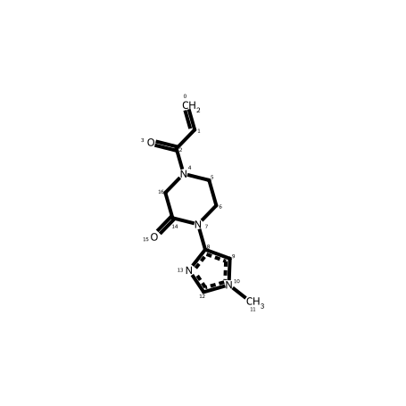 C=CC(=O)N1CCN(c2cn(C)cn2)C(=O)C1